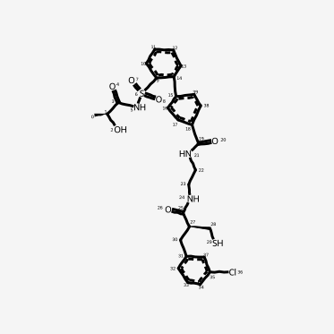 C[C@H](O)C(=O)NS(=O)(=O)c1ccccc1-c1ccc(C(=O)NCCNC(=O)[C@@H](CS)Cc2cccc(Cl)c2)cc1